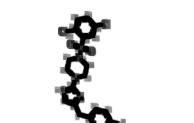 CCCc1ccc(Cc2csc(N3CCN(S(=O)(=O)c4cc(Cl)ccc4Cl)CC3)n2)cc1